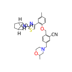 Cc1ccc(OCc2ccc(CN3CCOC(C)C3)cc2C#N)c(-c2csc(N3C[C@H]4CC[C@@H](C3)[C@H]4C(=O)O)n2)c1